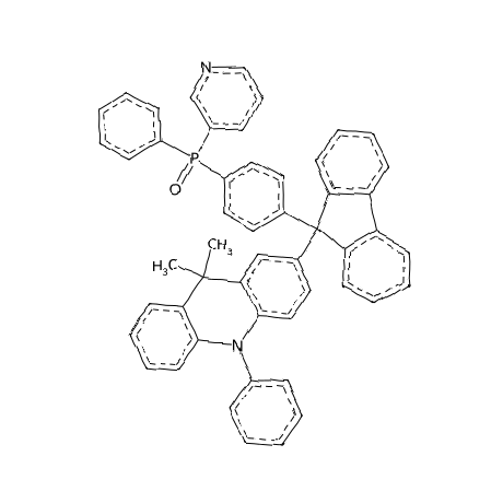 CC1(C)c2ccccc2N(c2ccccc2)c2ccc(C3(c4ccc(P(=O)(c5ccccc5)c5cccnc5)cc4)c4ccccc4-c4ccccc43)cc21